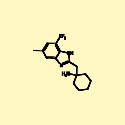 Cc1cc(C(F)(F)F)c2[nH]c(CC3(N)CCCCC3)nc2c1